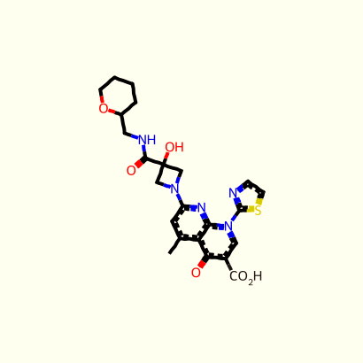 Cc1cc(N2CC(O)(C(=O)NCC3CCCCO3)C2)nc2c1c(=O)c(C(=O)O)cn2-c1nccs1